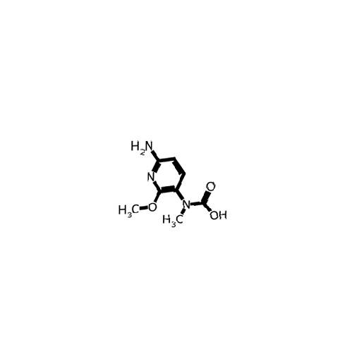 COc1nc(N)ccc1N(C)C(=O)O